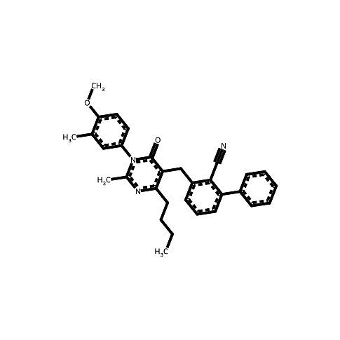 CCCCc1nc(C)n(-c2ccc(OC)c(C)c2)c(=O)c1Cc1cccc(-c2ccccc2)c1C#N